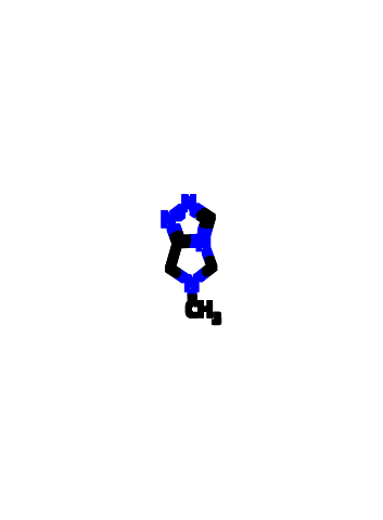 CN1Cc2nncn2C1